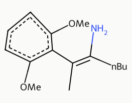 CCCCC(N)=C(C)c1c(OC)cccc1OC